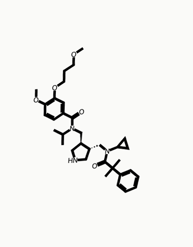 COCCCOc1cc(C(=O)N(C[C@@H]2CNC[C@H]2CN(C(=O)C(C)(C)c2ccccc2)C2CC2)C(C)C)ccc1OC